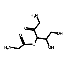 NCC(=O)OC(C(=O)CN)C(O)CO